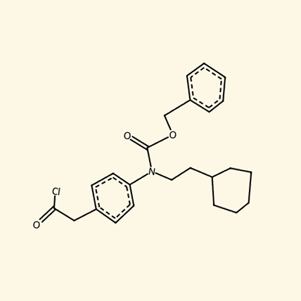 O=C(Cl)Cc1ccc(N(CCC2CCCCC2)C(=O)OCc2ccccc2)cc1